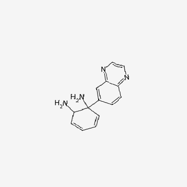 NC1C=CC=CC1(N)c1ccc2nccnc2c1